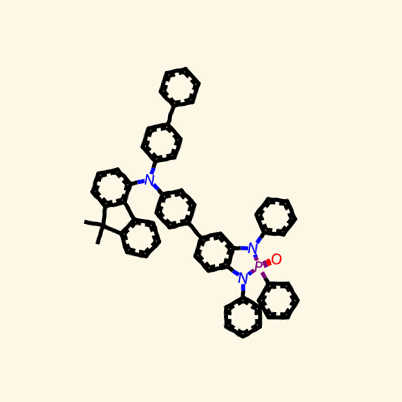 CC1(C)c2ccccc2-c2c(N(c3ccc(-c4ccccc4)cc3)c3ccc(-c4ccc5c(c4)N(c4ccccc4)P(=O)(c4ccccc4)N5c4ccccc4)cc3)cccc21